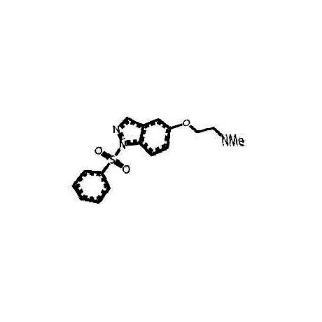 CNCCOc1ccc2c(cnn2S(=O)(=O)c2ccccc2)c1